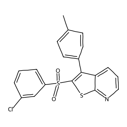 Cc1ccc(-c2c(S(=O)(=O)c3cccc(Cl)c3)sc3ncccc23)cc1